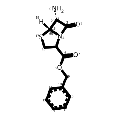 N[C@@H]1C(=O)N2C(C(=O)OCc3ccccc3)CS[C@H]12